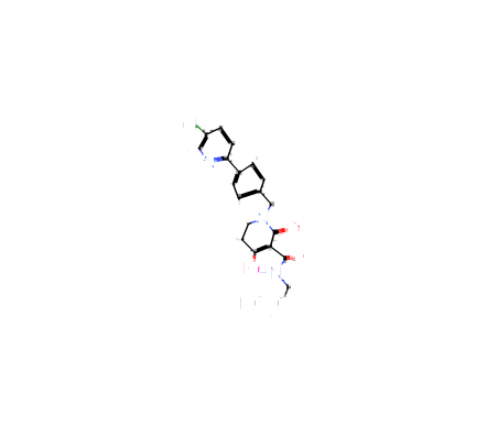 O=C(O)CNC(=O)C1=C(O)CCN(Cc2ccc(-c3ccc(Cl)cn3)cc2)C1=O